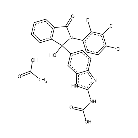 CC(=O)O.O=C(O)Nc1nc2ccc(C3(O)c4ccccc4C(=O)N3c3ccc(Cl)c(Cl)c3F)cc2[nH]1